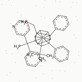 CC(C)(C)[C]12[C]3(c4ccccc4)[C]4(c5ccccc5)[C]5(CP)[C]1(C(P)(c1cccnc1)c1cccnc1)[Fe]54321678[CH]2[CH]1[CH]6[CH]7[CH]28